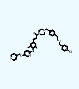 Cc1cc(C=CC(=O)N2CCN(Cc3ccc(CCOCc4ccc(Cl)cc4)cc3)CC2)cc(C)c1Oc1ccc(OCc2ccncc2)cn1